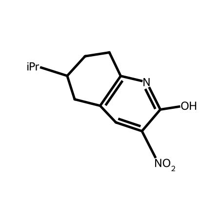 CC(C)C1CCc2nc(O)c([N+](=O)[O-])cc2C1